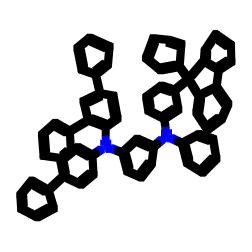 c1ccc(-c2ccc(N(c3cccc(N(c4ccccc4)c4cccc(C5(c6ccccc6)c6ccccc6-c6ccccc65)c4)c3)c3ccc(-c4ccccc4)cc3-c3ccccc3)cc2)cc1